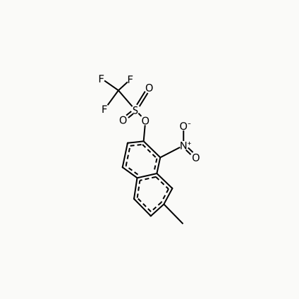 Cc1ccc2ccc(OS(=O)(=O)C(F)(F)F)c([N+](=O)[O-])c2c1